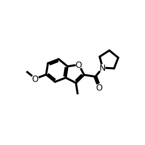 COc1ccc2oc(C(=O)N3CCCC3)c(C)c2c1